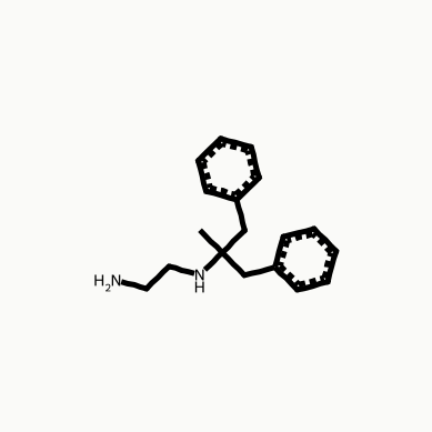 CC(Cc1ccccc1)(Cc1ccccc1)NCCN